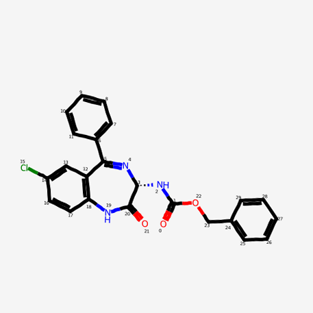 O=C(N[C@H]1N=C(c2ccccc2)c2cc(Cl)ccc2NC1=O)OCc1ccccc1